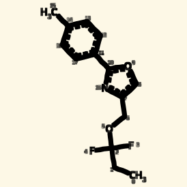 CCC(F)(F)OCc1coc(-c2ccc(C)cc2)n1